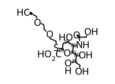 C#CCOCCOCCS[C@]1(C(=O)O)C[C@H](O)[C@@H](NC(=O)CO)[C@H]([C@H](O)[C@H](O)CO)O1